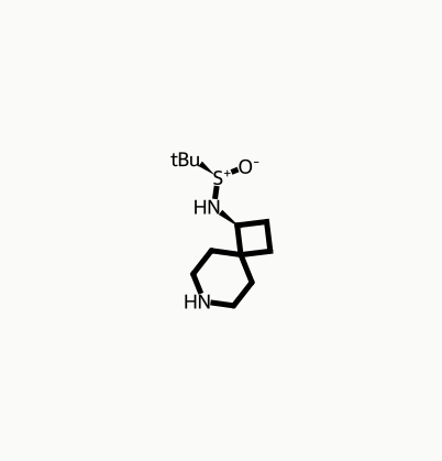 CC(C)(C)[S@@+]([O-])N[C@H]1CCC12CCNCC2